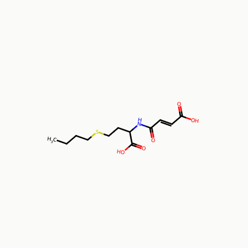 CCCCSCCC(NC(=O)/C=C/C(=O)O)C(=O)O